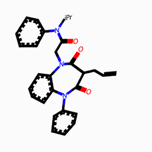 C=CCC1C(=O)N(CC(=O)N(c2ccccc2)C(C)C)c2ccccc2N(c2ccccc2)C1=O